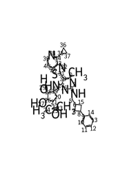 Cc1nc(NCC2CC(c3ccccc3)C2)nc(NC2C[C@H](C(C)(C)O)[C@@H](O)[C@H]2O)c1-c1nc2c(C3CC3)nccc2s1